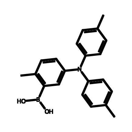 Cc1ccc(N(c2ccc(C)cc2)c2ccc(C)c(B(O)O)c2)cc1